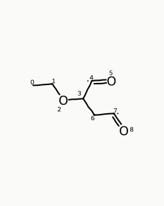 CCOC([C]=O)C[C]=O